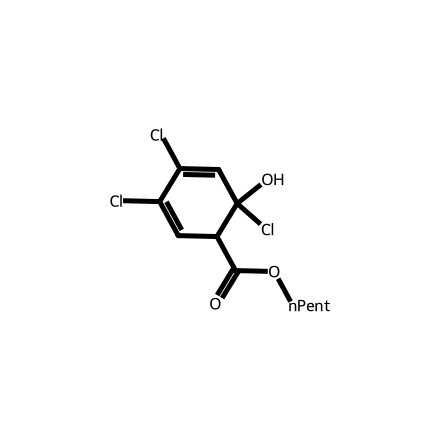 CCCCCOC(=O)C1C=C(Cl)C(Cl)=CC1(O)Cl